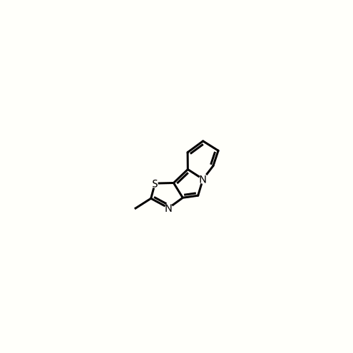 Cc1nc2cn3ccccc3c2s1